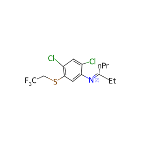 CCC/C(CC)=N\c1cc(SCC(F)(F)F)c(Cl)cc1Cl